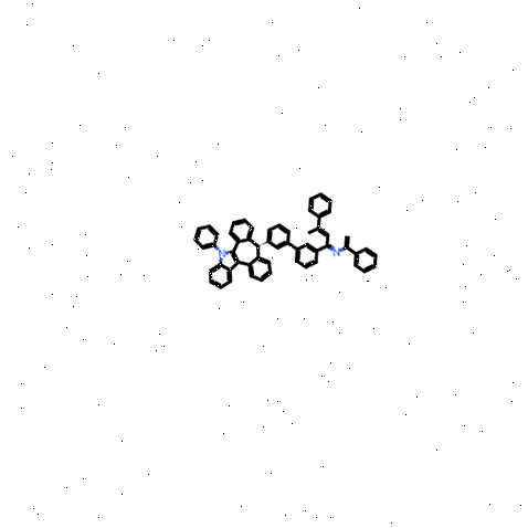 C=C(/N=C(\C=C(/C)c1ccccc1)c1cccc(-c2cccc([C@@H]3c4ccccc4-c4c(n(-c5ccccc5)c5ccccc45)-c4ccccc43)c2)c1)c1ccccc1